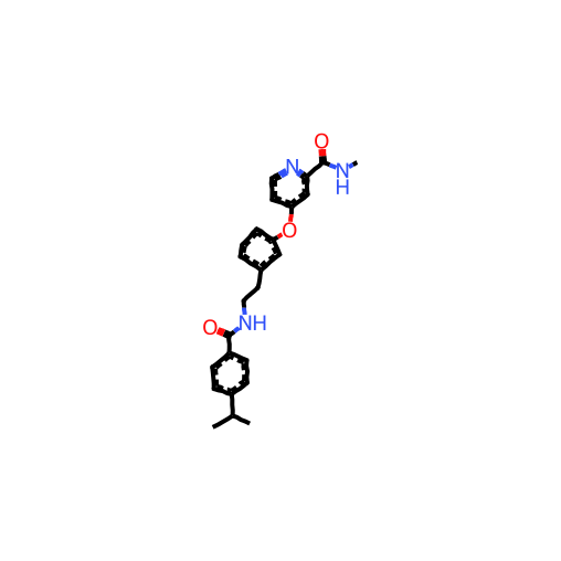 CNC(=O)c1cc(Oc2cccc(CCNC(=O)c3ccc(C(C)C)cc3)c2)ccn1